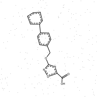 O=C(O)c1nc(OCc2ccc(-c3ccccc3)cc2)no1